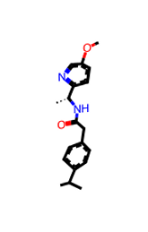 COc1ccc([C@@H](C)NC(=O)Cc2ccc(C(C)C)cc2)nc1